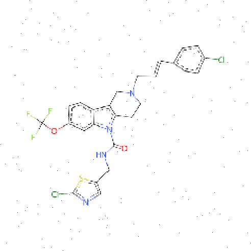 O=C(NCc1cnc(Cl)s1)n1c2c(c3ccc(OC(F)(F)F)cc31)CN(CC=Cc1ccc(Cl)cc1)CC2